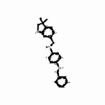 CC1(C)COc2cc(CNc3ccc(OCc4ccccc4)cc3)ccc21